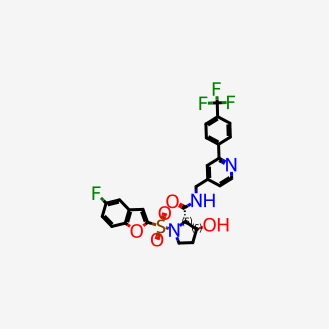 O=C(NCc1ccnc(-c2ccc(C(F)(F)F)cc2)c1)[C@@H]1[C@@H](O)CCN1S(=O)(=O)c1cc2cc(F)ccc2o1